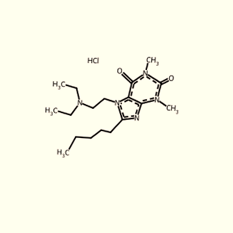 CCCCCc1nc2c(c(=O)n(C)c(=O)n2C)n1CCN(CC)CC.Cl